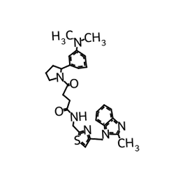 Cc1nc2ccccc2n1Cc1csc(CNC(=O)CCC(=O)N2CCCC2c2cccc(N(C)C)c2)n1